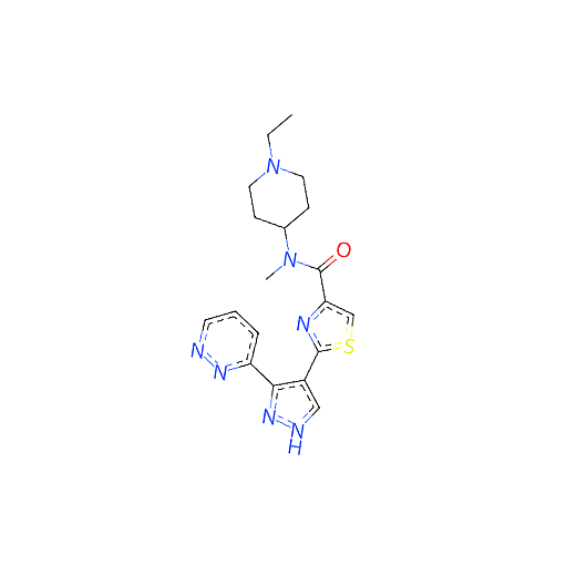 CCN1CCC(N(C)C(=O)c2csc(-c3c[nH]nc3-c3cccnn3)n2)CC1